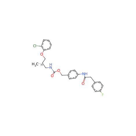 C[C@@H](CNC(=O)OCc1ccc(NC(=O)Cc2ccc(F)cc2)cc1)COc1ccccc1Cl